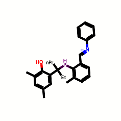 CCCC(CC)(Pc1c(C)cccc1/C=N/c1ccccc1)c1cc(C)cc(C)c1O